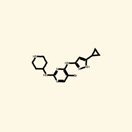 Brc1cnc(NC2CCNCC2)nc1Nc1cc(C2CC2)[nH]n1